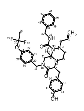 C=CCN1CCN2[C@@H](Cc3ccc(O)cc3)C(=O)N(Cc3ccc(OC(F)(F)F)cc3)C[C@@H]2N1C(=O)NCc1ccccc1